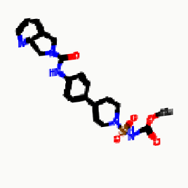 CC(C)(C)OC(=O)NS(=O)(=O)N1CC=C(c2ccc(NC(=O)N3Cc4cccnc4C3)cc2)CC1